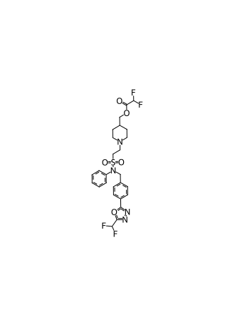 O=C(OCC1CCN(CCS(=O)(=O)N(Cc2ccc(-c3nnc(C(F)F)o3)cc2)c2ccccc2)CC1)C(F)F